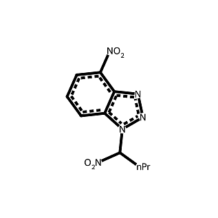 CCCC(n1nnc2c([N+](=O)[O-])cccc21)[N+](=O)[O-]